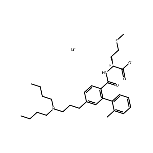 CCCCN(CCCC)CCCc1ccc(C(=O)N[C@@H](CCSC)C(=O)[O-])c(-c2ccccc2C)c1.[Li+]